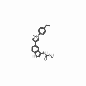 CCc1ccc(-n2cc(-c3ccc4[nH]cc(NC(=O)NC)c4c3)cn2)cc1